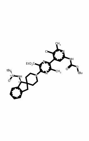 CCOC(=O)c1nc(-c2cc(NC(=O)OC(C)(C)C)nc(C)c2Cl)c(C)nc1N1CCC2(CC1)Cc1ccccc1[C@H]2N[S@+]([O-])C(C)(C)C